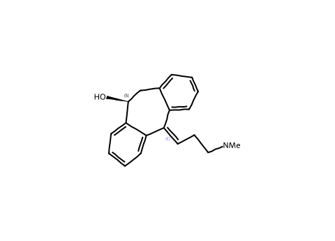 CNCC/C=C1\c2ccccc2C[C@H](O)c2ccccc21